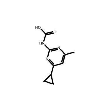 Cc1cc(C2CC2)nc(NC(=O)O)n1